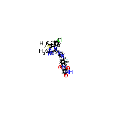 Cc1sc2c(c1C)C(c1ccc(Cl)cc1)=N[C@@H](CCN1CCN(Cc3ccc4c(c3F)CN(C3CCC(=O)NC3=O)C4=O)CC1)c1nnc(C)n1-2